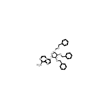 Nc1nccn2c([C@@H]3O[C@H](COCc4ccccc4)[C@@H](OCc4ccccc4)[C@H]3OCc3ccccc3)cnc12